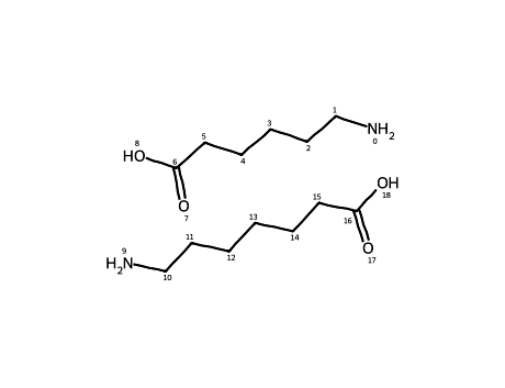 NCCCCCC(=O)O.NCCCCCCC(=O)O